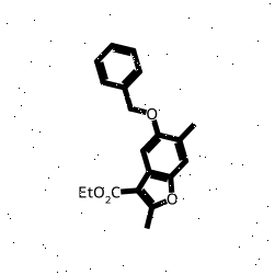 CCOC(=O)c1c(C)oc2cc(C)c(OCc3ccccc3)cc12